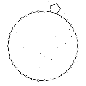 C1CCCCCCCCCCCCCCCCC2CCCC2CCCCCCCCCCCCCCCC1